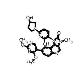 COc1ncc(-c2ccc3ncc4c(c3c2)n(-c2ccc(N3CCC(O)C3)nc2C)c(=O)n4C)c(OC)n1